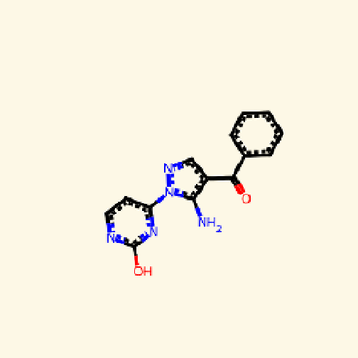 Nc1c(C(=O)c2ccccc2)cnn1-c1ccnc(O)n1